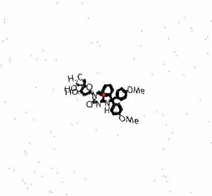 C=C[C@]1(CO)O[C@@H](n2ccc(NC(c3ccccc3)(c3ccc(OC)cc3)c3ccc(OC)cc3)nc2=O)C[C@@H]1O